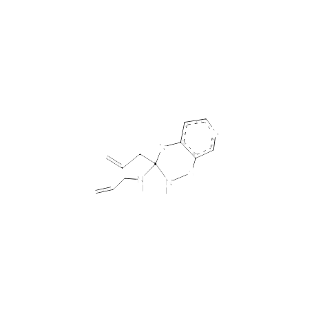 C=CCNC1(CC=C)NSc2cnccc2N1